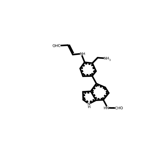 NCc1cc(-c2ccc(NC=O)c3[nH]ccc23)ccc1NC=CC=O